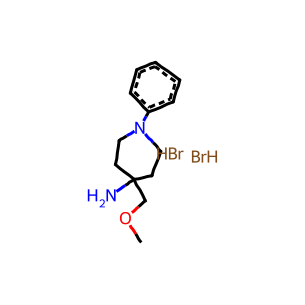 Br.Br.COCC1(N)CCN(c2ccccc2)CC1